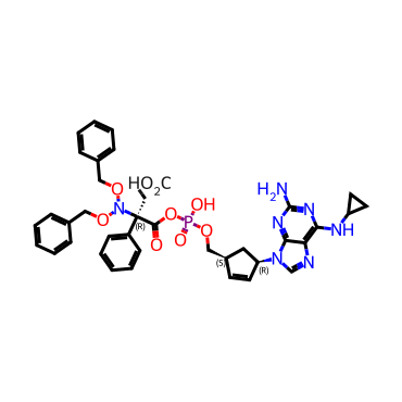 Nc1nc(NC2CC2)c2ncn([C@H]3C=C[C@@H](COP(=O)(O)OC(=O)[C@@](CC(=O)O)(c4ccccc4)N(OCc4ccccc4)OCc4ccccc4)C3)c2n1